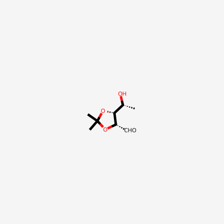 C[C@@H](O)[C@H]1OC(C)(C)O[C@H]1C=O